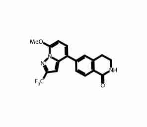 COc1ccc(-c2ccc3c(c2)CCNC3=O)c2cc(C(F)(F)F)nn12